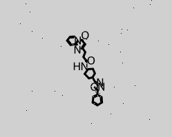 O=C(CCc1cc(=O)n2ccccc2n1)NC1CCC(c2nnc(-c3ccccc3)o2)CC1